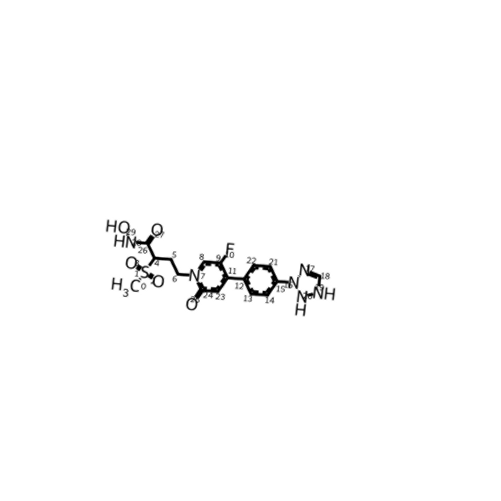 CS(=O)(=O)C(CCn1cc(F)c(-c2ccc(N3N=CNN3)cc2)cc1=O)C(=O)NO